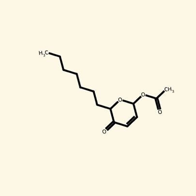 CCCCCCCC1OC(OC(C)=O)C=CC1=O